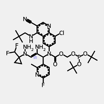 Cc1nc(F)ccc1C(/C(N)=C/N(N)C1(C(F)F)CC1)N(C(=O)OCOP(OC(C)(C)C)OC(C)(C)C)c1cc(Cl)c2ncc(C#N)c(NCC(C)(C)C)c2c1